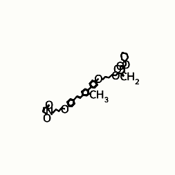 C=C(CC(=O)OC1CCCCC1)C(=O)OCCCCOc1ccc(-c2ccc(/C=C/c3ccc(OCCCCN4C(=O)C=CC4=O)cc3)cc2C)cc1